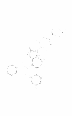 CC(C)(C)OC(=O)N1CCC(n2c(=O)[nH]c3c(N(Cc4ccccc4)Cc4ccccc4)cccc32)CC1